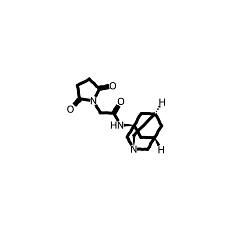 O=C(CN1C(=O)CCC1=O)N[C@@]12C[C@@H]3C[C@@H](C[N@](C3)C1)C2